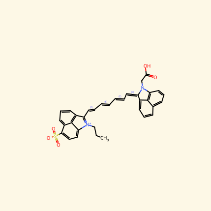 CCC[N+]1=C(/C=C/C=C/C=C/C=c2\c3cccc4cccc(c43)n2CC(=O)O)c2cccc3c(S(=O)(=O)[O-])ccc1c23